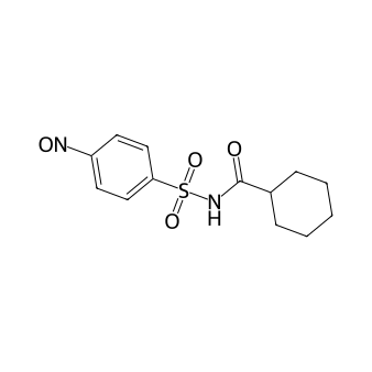 O=Nc1ccc(S(=O)(=O)NC(=O)C2CCCCC2)cc1